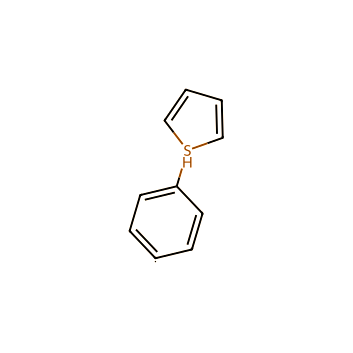 [c]1ccc([SH]2C=CC=C2)cc1